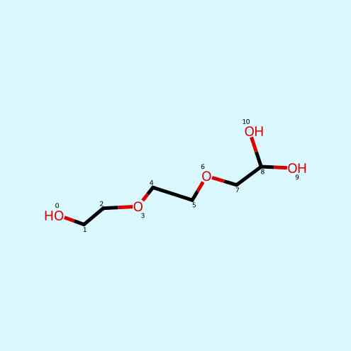 OCCOCCOCC(O)O